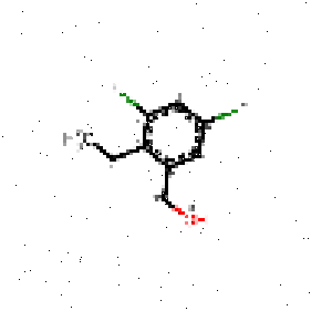 CCc1c(F)cc(F)cc1CO